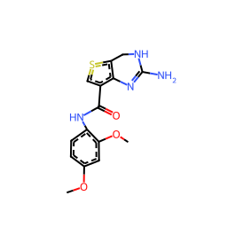 COc1ccc(NC(=O)c2csc3c2N=C(N)NC3)c(OC)c1